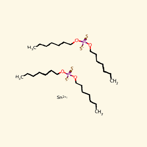 CCCCCCCOP(=S)([S-])OCCCCCCC.CCCCCCCOP(=S)([S-])OCCCCCCC.[Sn+2]